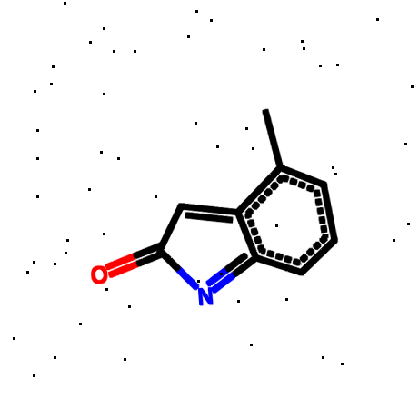 Cc1cccc2c1=CC(=O)N=2